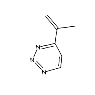 C=C(C)c1ccnnn1